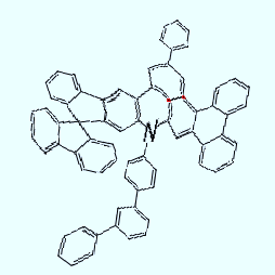 c1ccc(-c2cccc(-c3ccc(N(c4ccc5c6ccccc6c6ccccc6c5c4)c4cc5c(cc4-c4cccc(-c6ccccc6)c4)-c4ccccc4C54c5ccccc5-c5ccccc54)cc3)c2)cc1